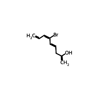 C=C/C=C(Br)\C=C\CC(=C)O